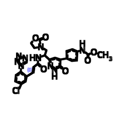 COC(=O)Nc1ccc(-c2cc(C(CN3CCOC3=O)NC(=O)/C=C/c3cc(Cl)ccc3-n3cnnn3)n[nH]c2=O)cc1